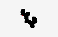 c1ccc(N(c2ccc(-c3cccc(-c4ccc(N(c5ccccc5)c5ccc6sc7ccccc7c6c5)cc4)c3)cc2)c2ccc3sc4ccccc4c3c2)cc1